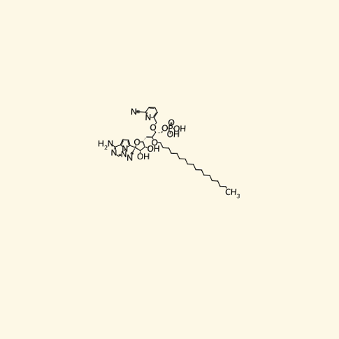 CCCCCCCCCCCCCCCCCCOC(C[C@H]1O[C@@](C#N)(c2ccc3c(N)ncnn23)[C@H](O)[C@@H]1O)[C@@H](COP(=O)(O)O)OCc1cccc(C#N)n1